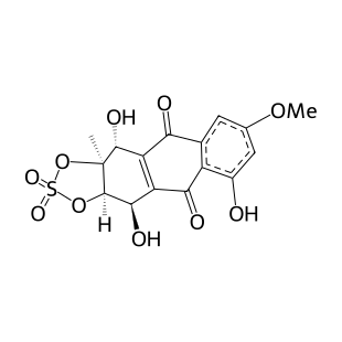 COc1cc(O)c2c(c1)C(=O)C1=C(C2=O)[C@@H](O)[C@H]2OS(=O)(=O)O[C@@]2(C)[C@@H]1O